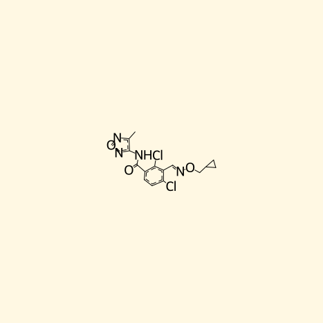 Cc1nonc1NC(=O)c1ccc(Cl)c(/C=N/OCC2CC2)c1Cl